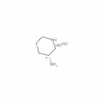 Cl.Cl.N[C@@H]1CCCNC1